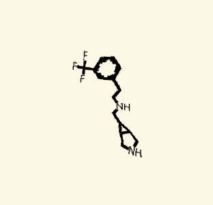 FC(F)(F)c1cccc(CCNCC2C3CNCC23)c1